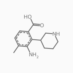 Cc1ccc(C(=O)O)c(C2CCCNC2)c1N